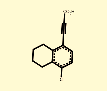 O=C(O)C#Cc1ccc(Cl)c2c1CCCC2